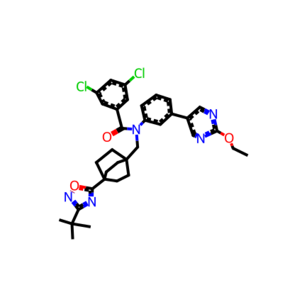 CCOc1ncc(-c2cccc(N(CC34CCC(c5nc(C(C)(C)C)no5)(CC3)CC4)C(=O)c3cc(Cl)cc(Cl)c3)c2)cn1